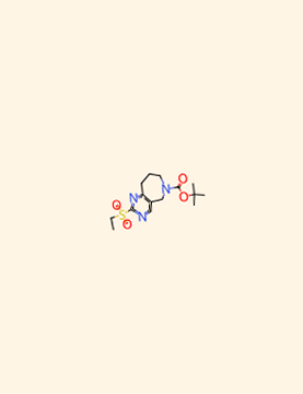 CCS(=O)(=O)c1ncc2c(n1)CCCN(C(=O)OC(C)(C)C)C2